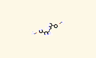 CN(C)CCOc1cncc(-c2cnc3[nH]nc(-c4cc5c(-c6cc(F)cc(OCCN(C)C)c6)ccnc5[nH]4)c3c2)c1